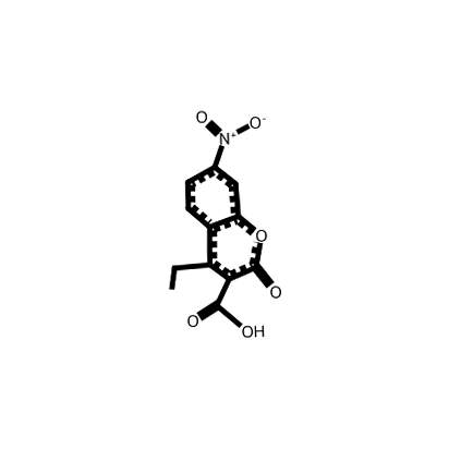 CCc1c(C(=O)O)c(=O)oc2cc([N+](=O)[O-])ccc12